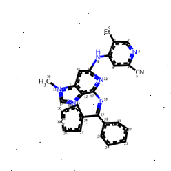 CCc1cnc(C#N)cc1Nc1cc2c(ncn2C)c(N=C(c2ccccc2)c2ccccc2)n1